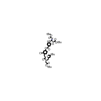 CC(C)(C)OC(=O)CN(Cc1cc(C(C)(C)C)cs1)C(=O)CCc1ccc(OC(=O)c2ccc(N/C(=N\C(=O)OC(C)(C)C)NC(=O)OC(C)(C)C)cc2)cc1Cl